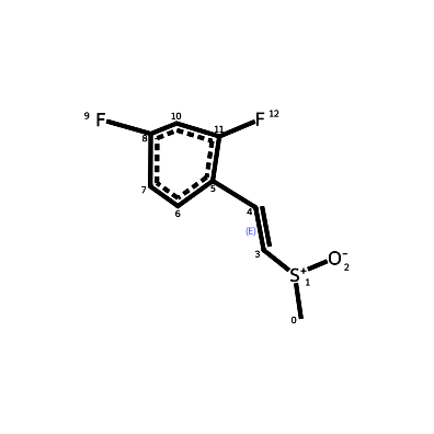 C[S+]([O-])/C=C/c1ccc(F)cc1F